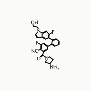 N#Cc1c(F)cc(-c2ccccc2-c2cc3ccn(CCO)c3cc2F)cc1C(=O)N1CC[C@H](N)C1